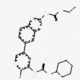 CCOC(=O)Nc1nc2ccc(-c3cnc(C)c(NC(=O)OC4CCCCC4)c3)cc2s1